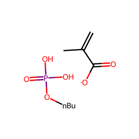 C=C(C)C([O])=O.CCCCOP(=O)(O)O